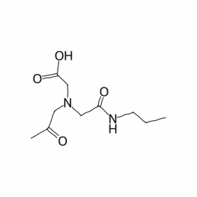 CCCNC(=O)CN(CC(C)=O)CC(=O)O